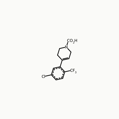 O=C(O)N1CC=C(c2cc(Cl)ccc2C(F)(F)F)CC1